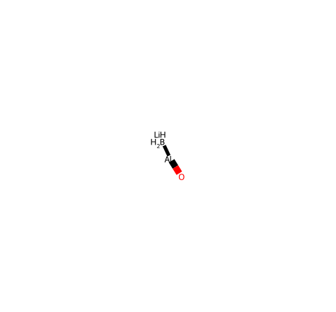 [BH2][Al]=[O].[LiH]